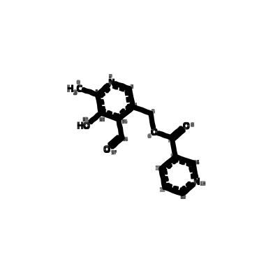 Cc1ncc(COC(=O)c2cccnc2)c(C=O)c1O